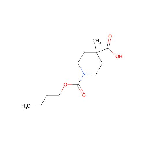 CCCCOC(=O)N1CCC(C)(C(=O)O)CC1